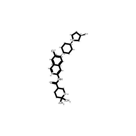 CC1(C)CCC(C(=O)Nc2cc3cc([C@H]4CC[C@H](N5CC[C@@H](F)C5)CC4)c(Cl)cc3cn2)CO1